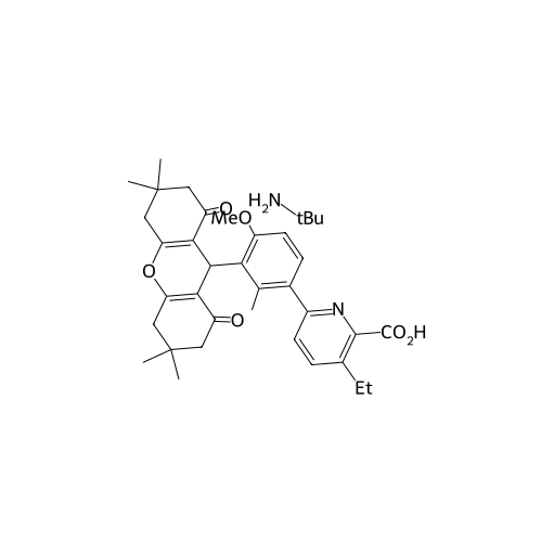 CC(C)(C)N.CCc1ccc(-c2ccc(OC)c(C3C4=C(CC(C)(C)CC4=O)OC4=C3C(=O)CC(C)(C)C4)c2C)nc1C(=O)O